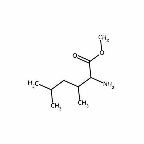 COC(=O)C(N)C(C)CC(C)C